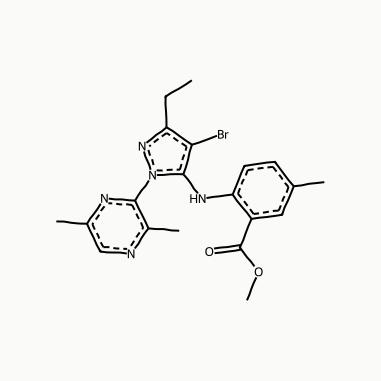 CCc1nn(-c2nc(C)cnc2C)c(Nc2ccc(C)cc2C(=O)OC)c1Br